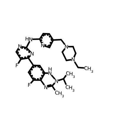 CCN1CCN(Cc2ccc(Nc3ncc(F)c(-c4cc(F)c5c(c4)NN(C(C)C)C(C)=N5)n3)nc2)CC1